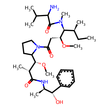 CC[C@H](C)[C@@H]([C@@H](CC(=O)N1CCCC1[C@H](OC)[C@@H](C)C(=O)N[C@H](C)[C@@H](O)c1ccccc1)OC)N(C)C(=O)C(N)C(C)C